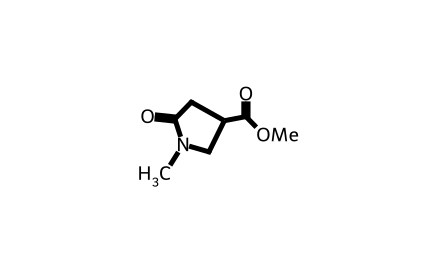 COC(=O)C1CC(=O)N(C)C1